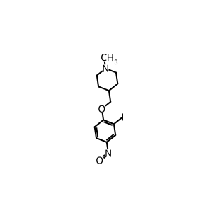 CN1CCC(COc2ccc(N=O)cc2I)CC1